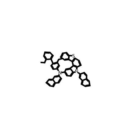 CCc1ccccc1-c1ccc(N(c2ccc3ccccc3c2)c2ccc3c(c2)c2c4c(ccc2n3-c2ccc3ccccc3c2)sc2ccccc24)cc1CC